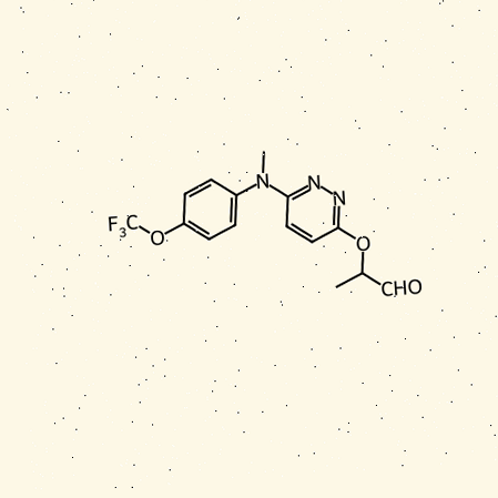 CC(C=O)Oc1ccc(N(C)c2ccc(OC(F)(F)F)cc2)nn1